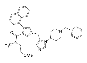 COCCN(C)C(=O)c1cn(Cc2cncn2C2CCN(Cc3ccccc3)CC2)cc1-c1cccc2ccccc12